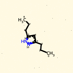 CCCc1cc(CCC)[nH]n1